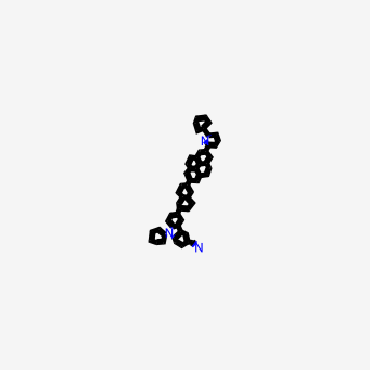 N#Cc1ccc2c(c1)c1cc(-c3ccc4cc(-c5cc6ccc7cc(-c8cccc(-c9ccccc9)n8)cc8ccc(c5)c6c78)ccc4c3)ccc1n2-c1ccccc1